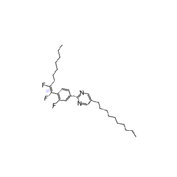 CCCCCCCCCCc1cnc(-c2ccc(/C(F)=C(/F)CCCCCCC)c(F)c2)nc1